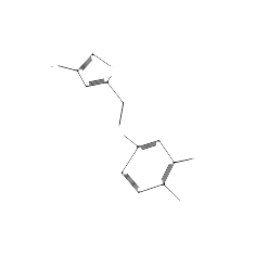 O=C(O)c1ccc(OCc2cc(Br)cs2)cc1C(=O)O